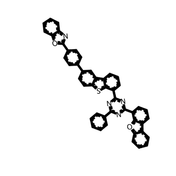 c1ccc(-c2nc(-c3cccc4c3oc3ccccc34)nc(-c3cccc4c3sc3ccc(-c5ccc(-c6nc7ccccc7o6)cc5)cc34)n2)cc1